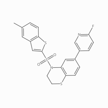 Cc1ccc2sc(S(=O)(=O)N3CCSc4ccc(-c5ccc(F)nc5)cc43)cc2c1